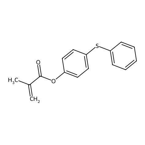 C=C(C)C(=O)Oc1ccc(Sc2ccccc2)cc1